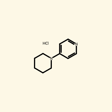 Cl.c1cc(N2CCCCC2)ccn1